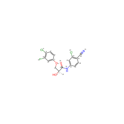 C[C@](O)(COc1ccc(Cl)c(F)c1)C(=O)Nc1ccc(C#N)c(Cl)c1